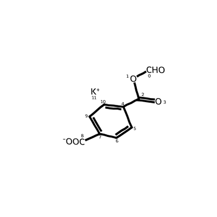 O=COC(=O)c1ccc(C(=O)[O-])cc1.[K+]